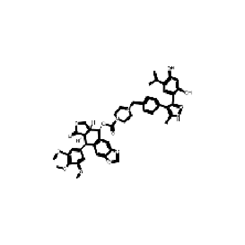 COc1cc([C@@H]2c3cc4c(cc3[C@@H](OC(=O)N3CCN(Cc5ccc(-c6c(-c7cc(C(C)C)c(O)cc7O)n[nH]c6C)cc5)CC3)[C@H]3COC(=O)[C@H]23)OCO4)cc(OC)c1OC